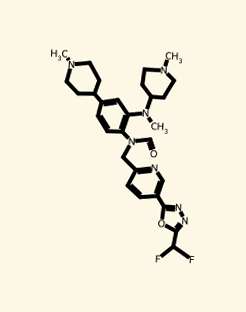 CN1CCC(c2ccc(N(C=O)Cc3ccc(-c4nnc(C(F)F)o4)cn3)c(N(C)C3CCN(C)CC3)c2)CC1